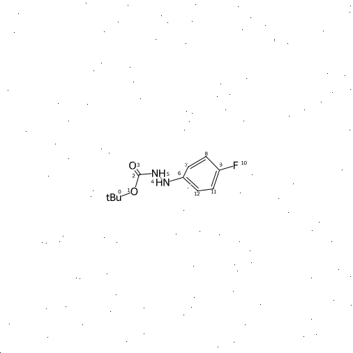 CC(C)(C)OC(=O)NNc1ccc(F)cc1